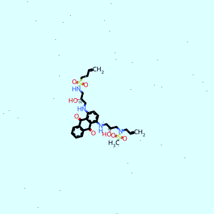 C=CCCS(=O)(=O)NC[C@@H](O)CNc1ccc(NC[C@@H](O)CN(CC=C)S(C)(=O)=O)c2c1C(=O)c1ccccc1C2=O